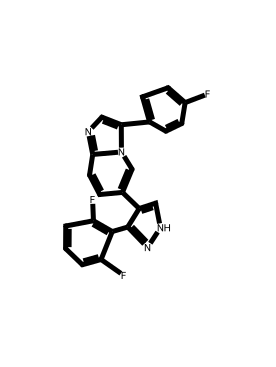 Fc1ccc(-c2cnc3ccc(-c4c[nH]nc4-c4c(F)cccc4F)cn23)cc1